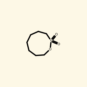 O=S1(=O)CCCCCCCO1